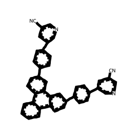 N#Cc1cncc(-c2ccc(-c3ccc4c5ccccc5c5ccc(-c6ccc(-c7cncc(C#N)c7)cc6)cc5c4c3)cc2)c1